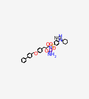 NC(=O)OC(Cc1ccc(OCc2ccc(-c3ccccc3)cc2)cc1)C(=O)NS(=O)(=O)c1ccc(NC2CCCCC2)c([N+](=O)[O-])c1